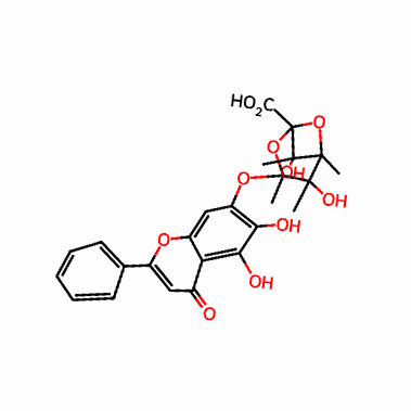 CC1(Oc2cc3oc(-c4ccccc4)cc(=O)c3c(O)c2O)OC2(C(=O)O)OC(C)(C1(C)O)C2(C)O